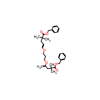 C=C(CC(C)(C)C(=O)OCc1ccccc1)OCCCOC=CCC(C)(C)C(=O)OCc1ccccc1